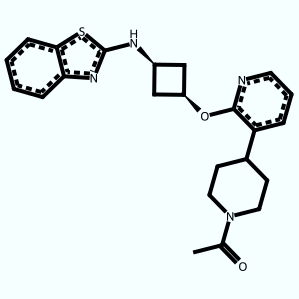 CC(=O)N1CCC(c2cccnc2O[C@H]2C[C@@H](Nc3nc4ccccc4s3)C2)CC1